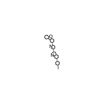 Ic1ccc(-c2ccc3cc(-c4ccc(-c5ccc6oc7ccccc7c6c5)nc4)cnc3c2)cc1